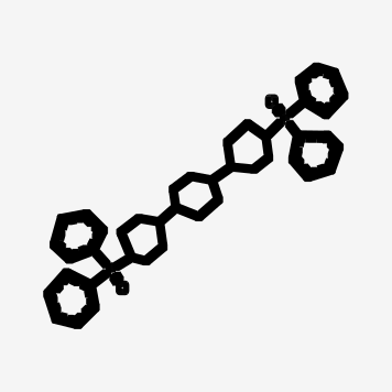 O=P(c1ccccc1)(c1ccccc1)C1CCC(C2CCC(C3CCC(P(=O)(c4ccccc4)c4ccccc4)CC3)CC2)CC1